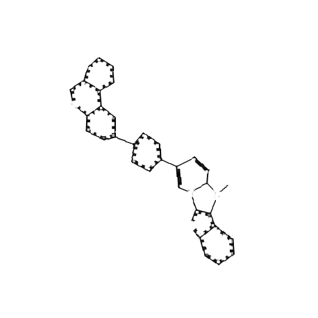 CN1c2c(oc3ccccc23)N2C=C(c3ccc(-c4ccc5ncc6ccccc6c5c4)cc3)C=CC12